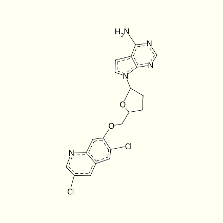 Nc1ncnc2c1ccn2C1CCC(COc2cc3ncc(Cl)cc3cc2Cl)O1